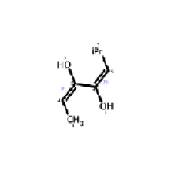 C/C=C(O)\C(O)=C/C(C)C